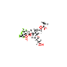 C=C(C)C(=O)OC(C)C1CC1(C(C)(C)OCC(C)(C)O)C(C)(C)OCC(O)(C(F)(F)F)C(F)(F)F